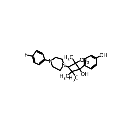 CC1(C)C(N2CCN(c3ccc(F)cc3)CC2)C(C)(C)C1(O)c1ccc(O)cc1